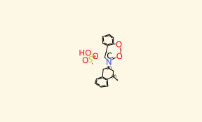 CS(=O)(=O)O.C[C@@H]1C[C@@H](N2CC3CC2OCOc2ccccc23)Cc2ccccc21